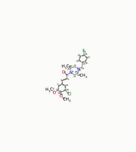 COc1cc(C=CC(=O)N2C[C@@H](C)N(Cc3ccc(F)cc3)C[C@@H]2C)cc(Cl)c1OC